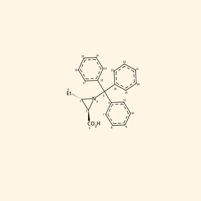 CC[C@H]1[C@H](C(=O)O)N1C(c1ccccc1)(c1ccccc1)c1ccccc1